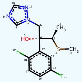 CS[C@H](C)[C@](O)(Cn1cncn1)c1cc(F)ccc1F